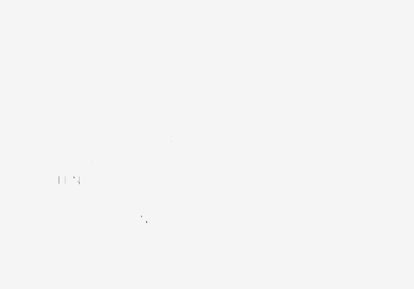 N#Cc1c(N)cccc1OCCCCCCO